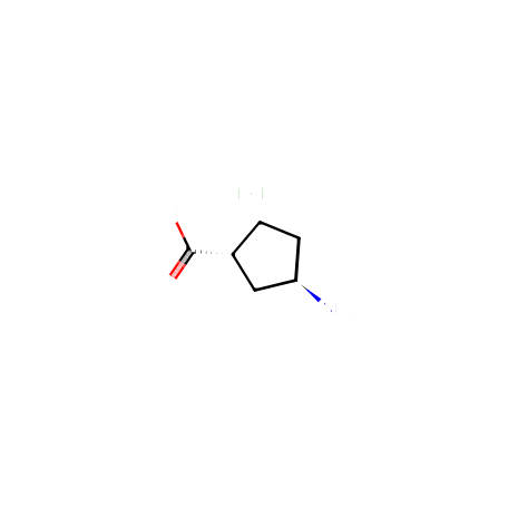 Cl.N[C@@H]1CC[C@@H](C(=O)O)C1